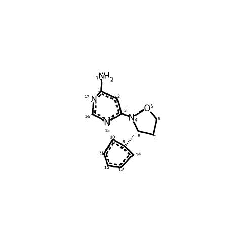 Nc1cc(N2OCC[C@@H]2c2ccccc2)ncn1